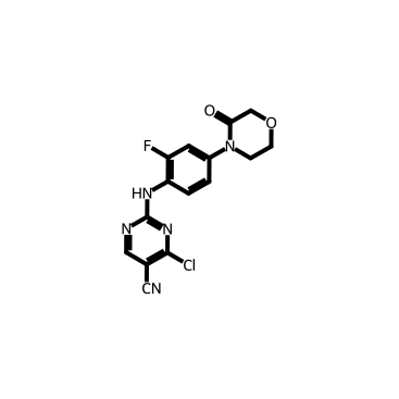 N#Cc1cnc(Nc2ccc(N3CCOCC3=O)cc2F)nc1Cl